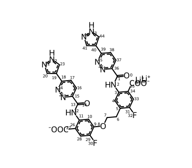 O=C(Nc1cc(CCOc2cc(NC(=O)c3ccc(-c4cn[nH]c4)nn3)c(C(=O)[O-])cc2F)c(F)cc1C(=O)[O-])c1ccc(-c2cn[nH]c2)nn1.[Li+].[Li+]